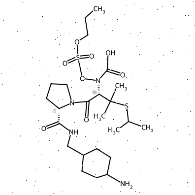 CCCOS(=O)(=O)ON(C(=O)O)[C@@H](C(=O)N1CCC[C@H]1C(=O)NCC1CCC(N)CC1)C(C)(C)SC(C)C